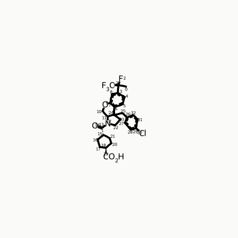 CC(F)(c1ccc2c(c1)OCC1N(C(=O)[C@H]3CC[C@H](C(=O)O)CC3)CCC21Cc1ccc(Cl)cc1)C(F)(F)F